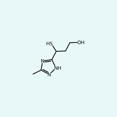 Cc1n[nH]c(C(S)CCO)n1